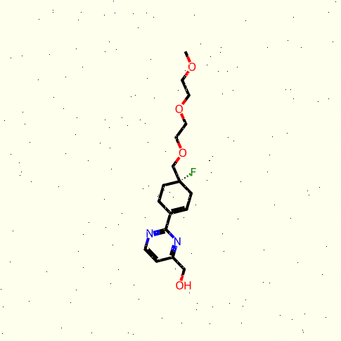 COCCOCCOC[C@@]1(F)CC=C(c2nccc(CO)n2)CC1